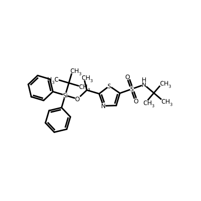 CC(O[Si](c1ccccc1)(c1ccccc1)C(C)(C)C)c1ncc(S(=O)(=O)NC(C)(C)C)s1